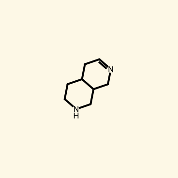 C1=NCC2CNCCC2C1